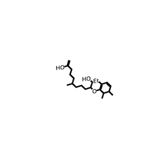 C=C(O)CCCC(C)CCCC(CO)OC1=C(CC)C=CC(C)C1C